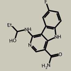 CCC(O)Nc1ncc(C(N)=O)c2[nH]c3ccc(F)cc3c12